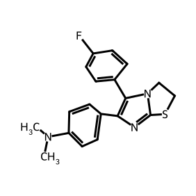 CN(C)c1ccc(-c2nc3n(c2-c2ccc(F)cc2)CCS3)cc1